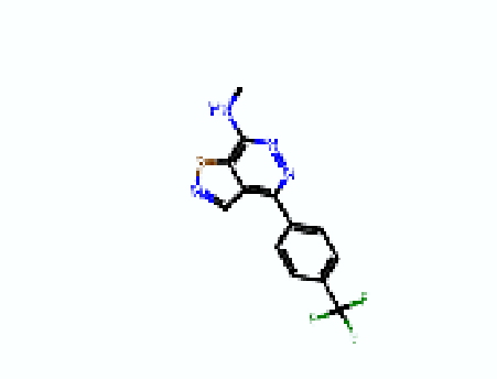 CNc1nnc(-c2ccc(C(F)(F)F)cc2)c2cnsc12